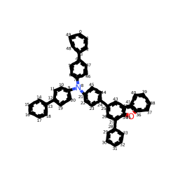 c1ccc(-c2ccc(N(c3ccc(-c4ccccc4)cc3)c3ccc(-c4cc(-c5ccccc5)c5oc6ccccc6c5c4)cc3)cc2)cc1